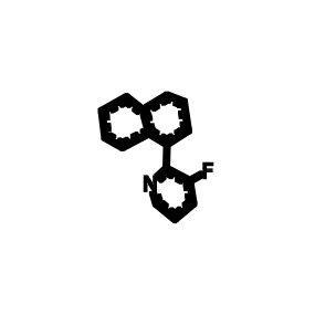 Fc1cccnc1-c1cccc2ccccc12